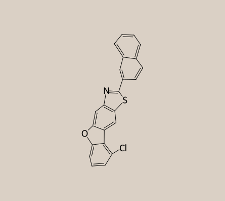 Clc1cccc2oc3cc4nc(-c5ccc6ccccc6c5)sc4cc3c12